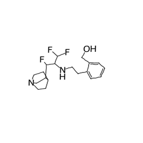 OCc1ccccc1CCNC(C(F)F)C(F)C1CN2CCC1CC2